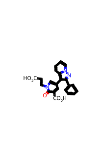 O=C(O)CCn1cc(-c2c(-c3ccccc3)nn3ccccc23)cc(C(=O)O)c1=O